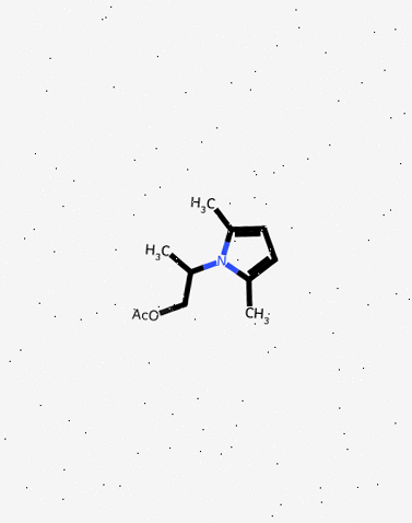 CC(=O)OCC(C)n1c(C)ccc1C